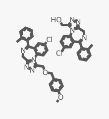 COc1ccc(COCc2nnc3n2-c2ccc(Cl)cc2C(c2ccccc2C)=NC3)cc1.Cc1ccccc1C1=NCc2nnc(CO)n2-c2ccc(Cl)cc21